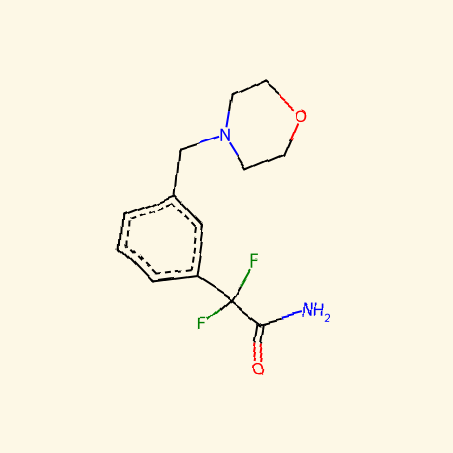 NC(=O)C(F)(F)c1cccc(CN2CCOCC2)c1